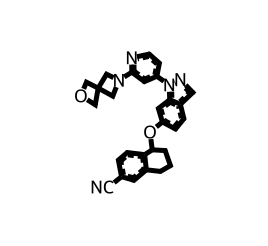 N#Cc1ccc2c(c1)CCCC2Oc1ccc2cnn(-c3ccnc(N4CC5(COC5)C4)c3)c2c1